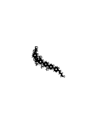 CCCCCc1ccc(-c2ccc(-c3ccc(-c4cc(F)c(C(F)(F)Oc5ccc(OCF)cc5)c(F)c4)c(F)c3)c(F)c2)cc1